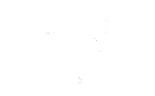 Cl.O=C1CCCN1c1ccccc1C1CCNCC1